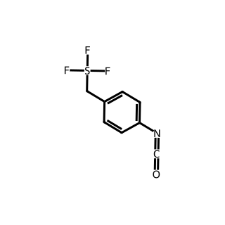 O=C=Nc1ccc(CS(F)(F)F)cc1